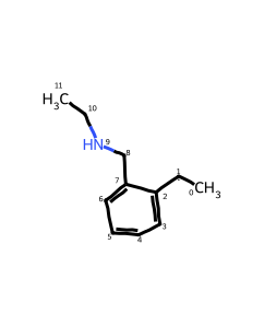 C[CH]c1ccccc1CNCC